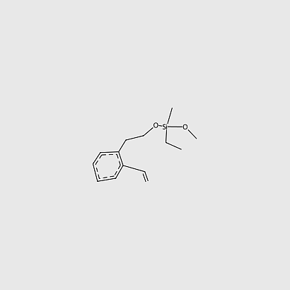 C=Cc1ccccc1CCO[Si](C)(CC)OC